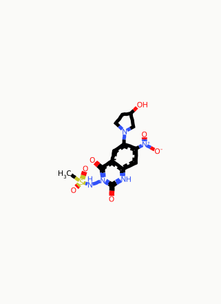 CS(=O)(=O)Nn1c(=O)[nH]c2cc([N+](=O)[O-])c(N3CCC(O)C3)cc2c1=O